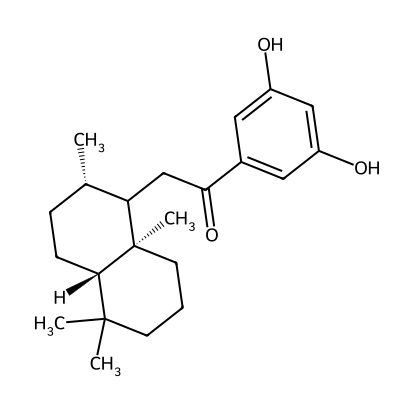 C[C@H]1CC[C@H]2C(C)(C)CCC[C@]2(C)C1CC(=O)c1cc(O)cc(O)c1